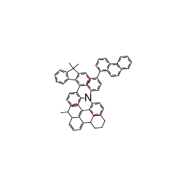 CC1C=CC(c2ccccc2N(c2ccc(-c3cccc4c3ccc3ccccc34)cc2)c2ccccc2-c2cccc3c2-c2ccccc2C3(C)C)=C2C(C3CCCCC3)=CC=CC21